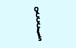 O=C=C=C=C=S